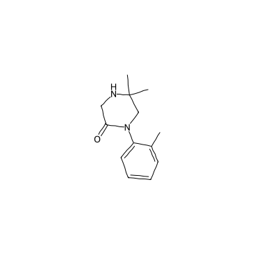 Cc1ccccc1N1CC(C)(C)NCC1=O